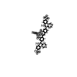 O=S(=O)([O-])c1ccc(NN(c2ccc(C=Cc3ccc(N(Nc4ccc(S(=O)(=O)[O-])cc4)c4ncncn4)cc3S(=O)(=O)[O-])c(S(=O)(=O)[O-])c2)c2ncncn2)cc1.[Na+].[Na+].[Na+].[Na+]